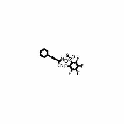 N#CC(C#Cc1ccccc1)=NOS(=O)(=O)c1c(F)c(F)c(F)c(F)c1F